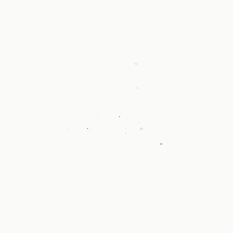 CC[Si](CC)(CC)O[C@@H]1C(=O)N(C(=O)N(C)c2ccccc2)[C@@H]1c1ccco1